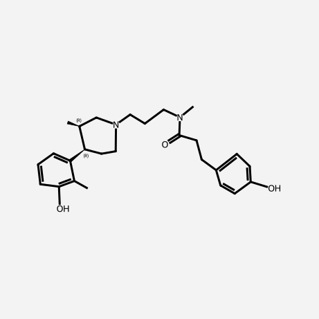 Cc1c(O)cccc1[C@@H]1CCN(CCCN(C)C(=O)CCc2ccc(O)cc2)C[C@@H]1C